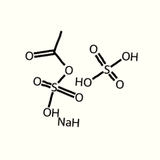 CC(=O)OS(=O)(=O)O.O=S(=O)(O)O.[NaH]